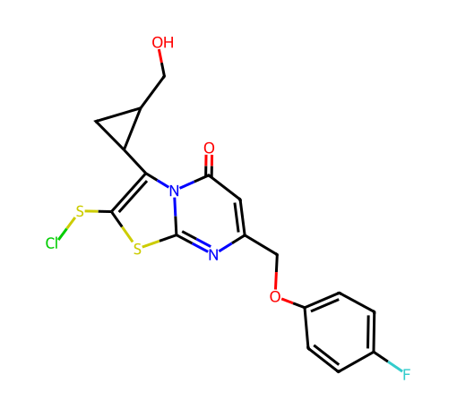 O=c1cc(COc2ccc(F)cc2)nc2sc(SCl)c(C3CC3CO)n12